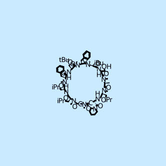 CC[C@H](C)[C@H]1C(=O)N[C@@H]([C@@H](C)O)C(=O)N(C)[C@@H](C)C(=O)N(C)[C@@H](CC(C)C)C(=O)N[C@H](C(=O)N2CCCCC2)CC(=O)N(C)CC(=O)N(C)[C@@H](CC(C)C)C(=O)N[C@@H](CC(C)C)C(=O)N(C)[C@@H](Cc2ccccc2)C(=O)N[C@@H](COC(C)(C)C)C(=O)N(C)[C@@H](Cc2ccccc2)C(=O)N1C